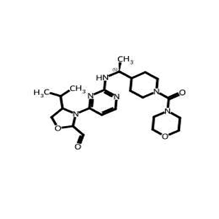 CC(C)C1COC(C=O)N1c1ccnc(N[C@@H](C)C2CCN(C(=O)N3CCOCC3)CC2)n1